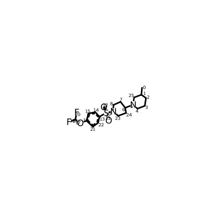 CC1CCCN(C2CCN(S(=O)(=O)c3ccc(OC(F)F)cc3)CC2)C1